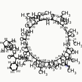 C/C=C/C[C@@H](C)[C@@H](O)[C@H]1C(=O)N[C@@H](CC)C(=O)N(C)CC(=O)N(C)[C@@H](CC(C)C)C(=O)N[C@@H](C(C)C)C(=O)N(C)[C@@H](CC(C)C)C(=O)N[C@@H](C)C(=O)N[C@H](C)C(=O)N(C)[C@@H](CC(C)C)C(=O)N(C)[C@@H](CC(C)C)C(=O)N(C)[C@@H](C(C)C)C(=O)N1C.CN1[C@@H]2CC[C@H]1C[C@@H](OC(=O)C(O)c1ccccc1)C2